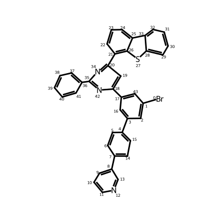 Brc1cc(-c2ccc(-c3cccnc3)cc2)cc(-c2cc(-c3cccc4c3sc3ccccc34)nc(-c3ccccc3)n2)c1